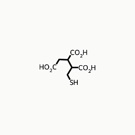 O=C(O)CC(C(=O)O)C(CS)C(=O)O